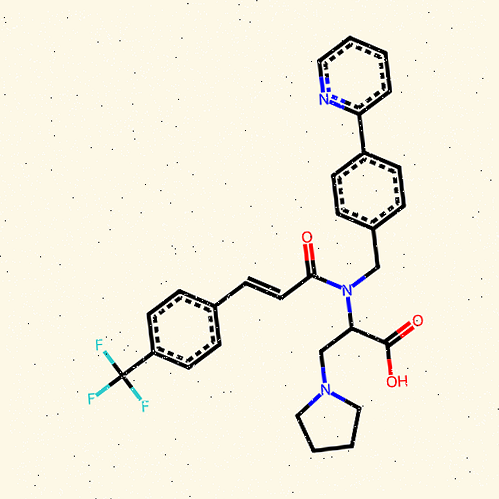 O=C(O)C(CN1CCCC1)N(Cc1ccc(-c2ccccn2)cc1)C(=O)C=Cc1ccc(C(F)(F)F)cc1